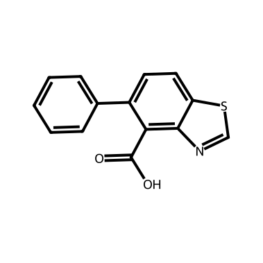 O=C(O)c1c(-c2ccccc2)ccc2scnc12